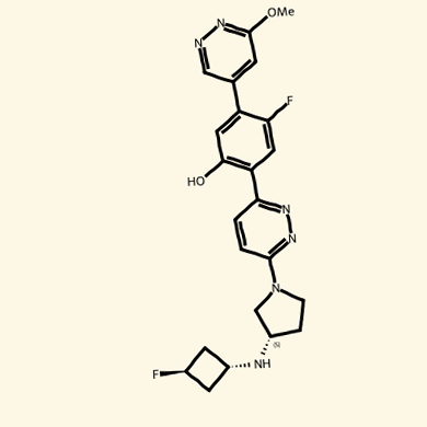 COc1cc(-c2cc(O)c(-c3ccc(N4CC[C@H](N[C@H]5C[C@H](F)C5)C4)nn3)cc2F)cnn1